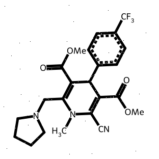 COC(=O)C1=C(C#N)N(C)C(CN2CCCC2)=C(C(=O)OC)C1c1ccc(C(F)(F)F)cc1